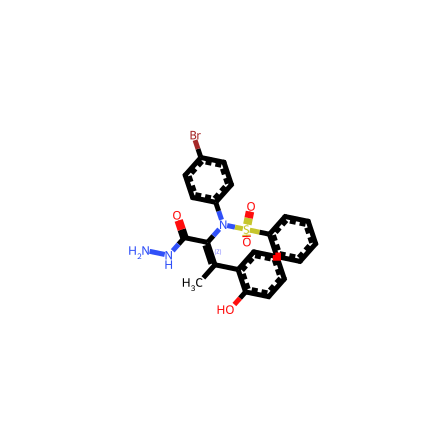 C/C(=C(\C(=O)NN)N(c1ccc(Br)cc1)S(=O)(=O)c1ccccc1)c1ccccc1O